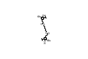 C=C(C)c1cc(CCC(=O)OCCCCCCOC(=O)CCc2cc(C(=C)C)c(O)c(C(C)(C)C)c2)cc(C(C)(C)C)c1O